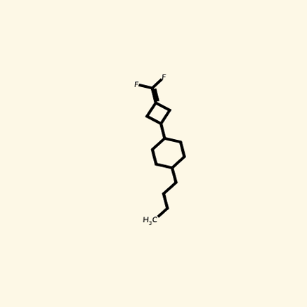 CCCCC1CCC(C2CC(=C(F)F)C2)CC1